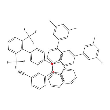 Cc1cc(C)cc(-c2ccc3c(c2)c2ccccc2n3-c2ccc(-c3c(C(F)(F)F)cccc3C(F)(F)F)cc2-c2c(C#N)cccc2-n2c3ccccc3c3cc(-c4cc(C)cc(C)c4)ccc32)c1